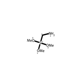 CO[Si](CN)(OC)OC